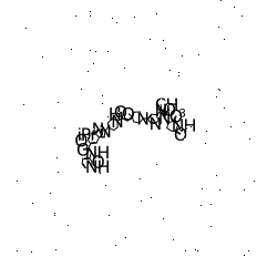 CC(C)Oc1cc2nn(C3CCN(C(=O)CC4(O)CCN(c5cnc6c(c5)n(C)c(=O)n6C5CCC(=O)NC5=O)CC4)CC3)cc2cc1C(=O)Nc1ccc[nH]c1=O